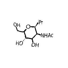 CC(=O)NC1C(O)[C@H](O)C(CO)O[C@H]1C(C)C